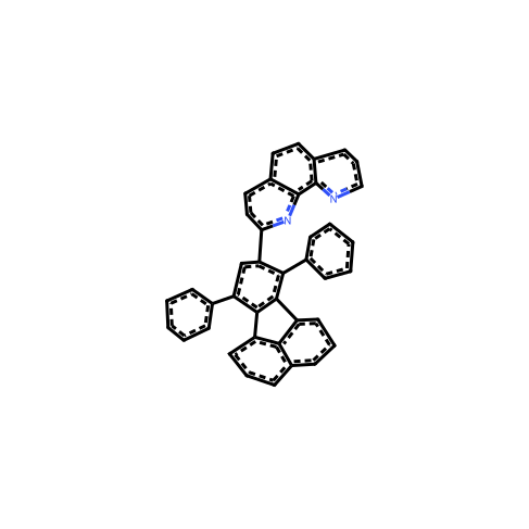 c1ccc(-c2cc(-c3ccc4ccc5cccnc5c4n3)c(-c3ccccc3)c3c2-c2cccc4cccc-3c24)cc1